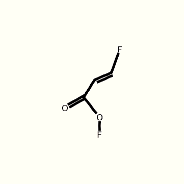 O=C(C=CF)OF